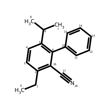 CCc1ccc(C(C)C)c(-c2ccccc2)c1C#N